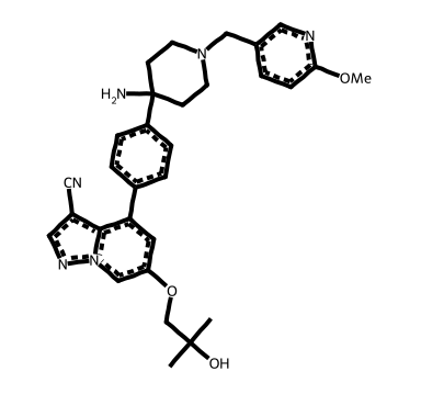 COc1ccc(CN2CCC(N)(c3ccc(-c4cc(OCC(C)(C)O)cn5ncc(C#N)c45)cc3)CC2)cn1